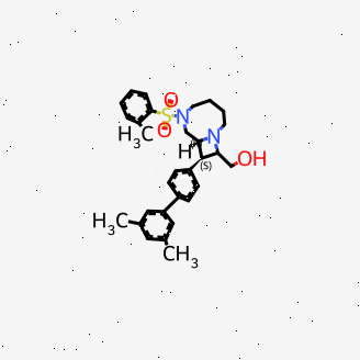 Cc1cc(C)cc(-c2ccc([C@@H]3C(CO)N4CCCCN(S(=O)(=O)c5ccccc5C)C[C@@H]34)cc2)c1